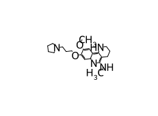 CNc1nc2cc(OCCCN3CCCC3)c(OC)cc2c2c1CCCN2